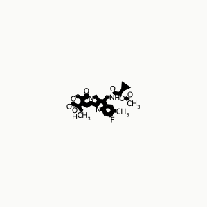 CC[C@@]1(O)C(=O)OCc2c1cc1n(c2=O)Cc2c-1nc1cc(F)c(C)cc1c2CNC(=O)[C@H](OC(C)=O)C1CC1